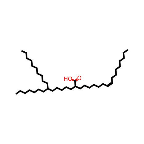 CCCCCCCC/C=C\CCCCCCC(CCCCCC(CCCCCCC)CCCCCCCCCC)C(=O)O